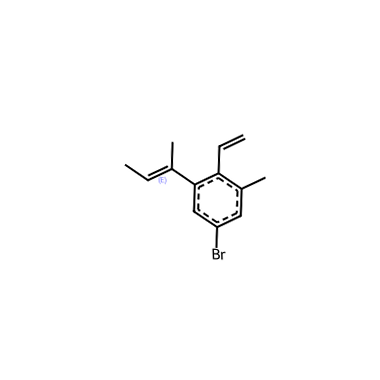 C=Cc1c(C)cc(Br)cc1/C(C)=C/C